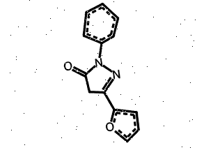 O=C1CC(c2ccco2)=NN1c1ccccc1